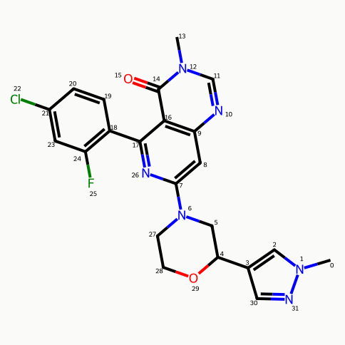 Cn1cc(C2CN(c3cc4ncn(C)c(=O)c4c(-c4ccc(Cl)cc4F)n3)CCO2)cn1